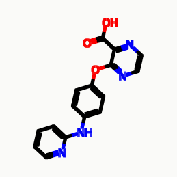 O=C(O)c1nccnc1Oc1ccc(Nc2ccccn2)cc1